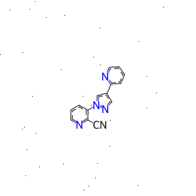 N#Cc1ncccc1-n1cc(-c2ccccn2)cn1